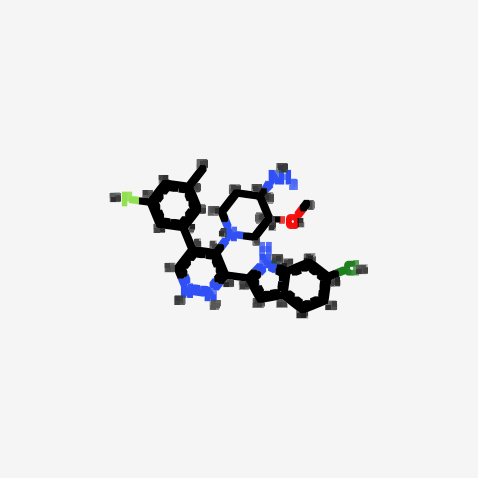 CO[C@@H]1CN(c2c(-c3cc(C)cc(F)c3)cnnc2-c2cc3ccc(Cl)cc3[nH]2)CC[C@H]1N